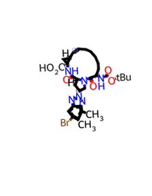 Cc1c(Br)cc2nn([C@H]3C[C@H]4C(=O)N[C@@]5(C(=O)O)C[C@H]5/C=C\CCCCC[C@@H](NC(=O)OC(C)(C)C)C(=O)N4C3)nc2c1C